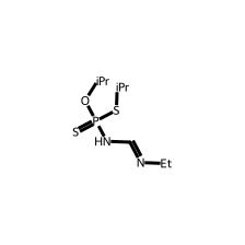 CCN=CNP(=S)(OC(C)C)SC(C)C